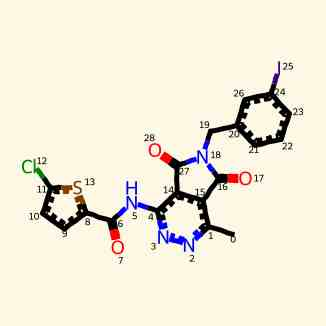 Cc1nnc(NC(=O)c2ccc(Cl)s2)c2c1C(=O)N(Cc1cccc(I)c1)C2=O